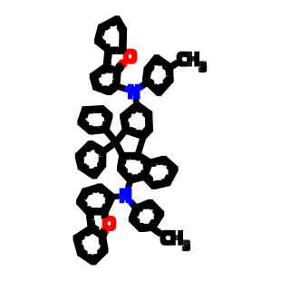 Cc1ccc(N(c2ccc3c(c2)C(c2ccccc2)(c2ccccc2)c2cc(N(c4ccc(C)cc4)c4cccc5c4oc4ccccc45)c4ccccc4c2-3)c2cccc3c2oc2ccccc23)cc1